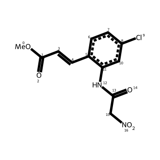 COC(=O)/C=C/c1ccc(Cl)cc1NC(=O)C[N+](=O)[O-]